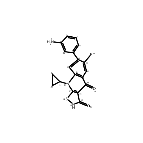 Nc1cccc(-c2cc3c(cc2F)c(=O)c2c(=O)[nH]sc2n3C2CC2)c1